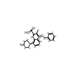 Cc1c(C(=O)O)nc2c(N3CCN(C)CC3)cccc2c1OCc1ccccc1